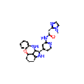 Cn1ccnc1CC(=O)Nc1cc(-c2[nH]c3c(c2Nc2ccccc2)C(=O)CCC3)ccn1